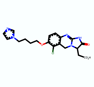 O=C(O)CC1C(=O)NC2=Nc3ccc(OCCCCn4ccnc4)c(Cl)c3CN21